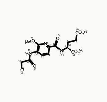 COc1nc(C(=O)N[C@@H](CCC(=O)O)C(=O)O)ccc1NC(=O)CCl